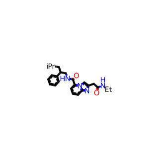 CCNC(=O)Cc1cn2c(C(=O)NCC(CC(C)C)c3ccccc3)cccc2n1